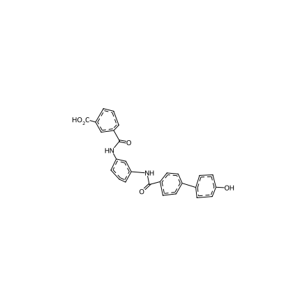 O=C(O)c1cccc(C(=O)Nc2cccc(NC(=O)c3ccc(-c4ccc(O)cc4)cc3)c2)c1